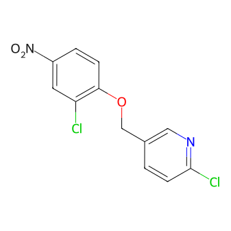 O=[N+]([O-])c1ccc(OCc2ccc(Cl)nc2)c(Cl)c1